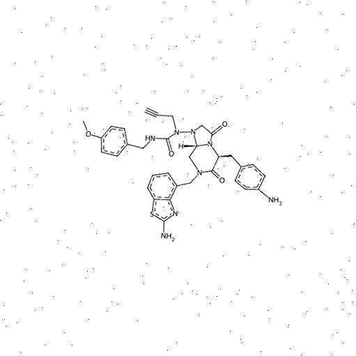 C#CCN(C(=O)NCc1ccc(OC)cc1)N1CC(=O)N2[C@@H](Cc3ccc(N)cc3)C(=O)N(Cc3cccc4sc(N)nc34)C[C@@H]21